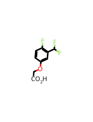 O=C(O)COc1ccc(F)c(C(F)F)c1